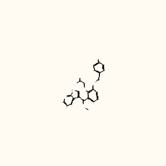 COC(c1cccc(OCc2ccc(Cl)cc2)c1OCC(F)F)c1c[nH]c2ncccc12